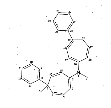 CN(C1=CC=CC(C)(c2ccccc2)C=C1)C1=CC=C(c2ccccc2)CC=C1